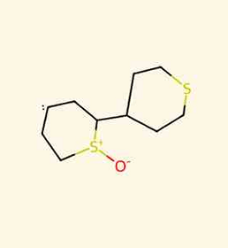 [O-][S+]1CC[C]CC1C1CCSCC1